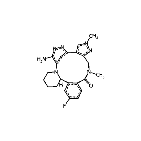 CN1Cc2nn(C)cc2-c2cc(c(N)nn2)N2CCCC[C@@H]2c2cc(F)ccc2C1=O